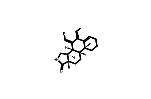 C[C@]12CCCC=C1C(=CF)C(=CF)[C@@H]1[C@H]2CC[C@]2(C)C(=O)NC[C@@H]12